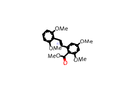 COC(=O)c1c(/C=C/c2c(OC)cccc2OC)cc(OC)cc1OC